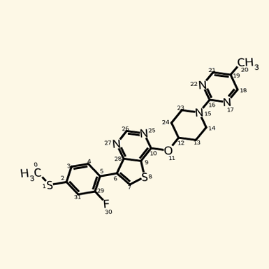 CSc1ccc(-c2csc3c(OC4CCN(c5ncc(C)cn5)CC4)ncnc23)c(F)c1